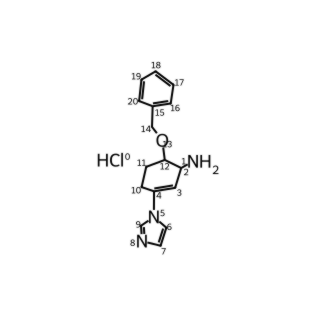 Cl.NC1C=C(n2ccnc2)CCC1OCc1ccccc1